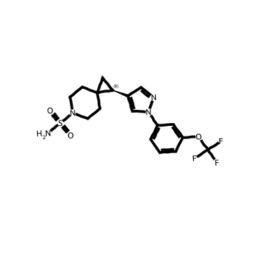 NS(=O)(=O)N1CCC2(CC1)C[C@H]2c1cnn(-c2cccc(OC(F)(F)F)c2)c1